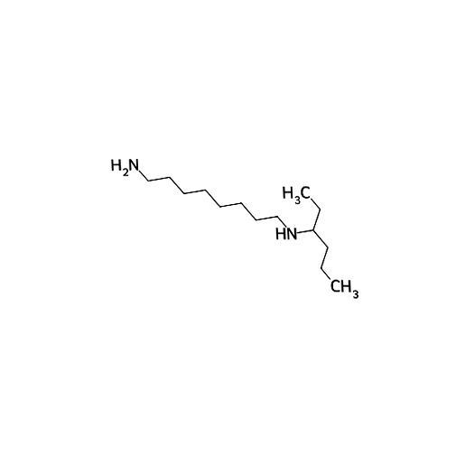 CCCC(CC)NCCCCCCCCN